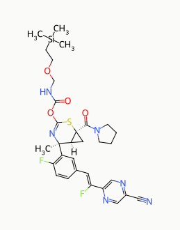 C[C@]1(c2cc(/C=C(\F)c3cnc(C#N)cn3)ccc2F)N=C(OC(=O)NCOCC[Si](C)(C)C)S[C@@]2(C(=O)N3CCCC3)C[C@H]21